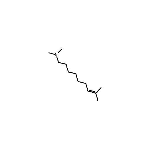 CC(C)=CCCCCCCN(C)C